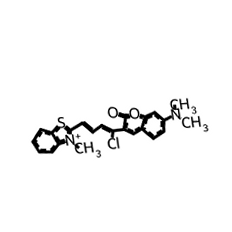 CN(C)c1ccc2cc(/C(Cl)=C/C=C/c3sc4ccccc4[n+]3C)c(=O)oc2c1